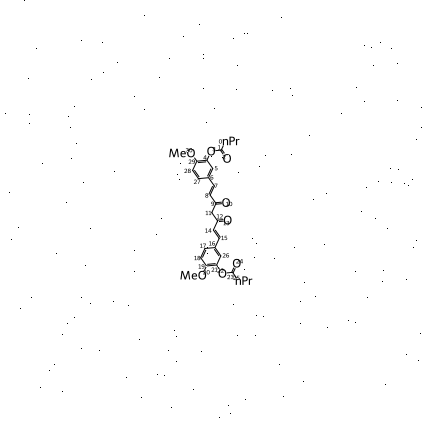 CCCC(=O)Oc1cc(/C=C/C(=O)CC(=O)/C=C/c2ccc(OC)c(OC(=O)CCC)c2)ccc1OC